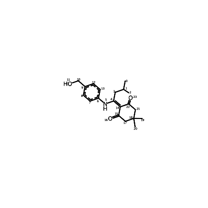 CC(C)CC(Nc1ccc(CO)cc1)=C1C(=O)CC(C)(C)CC1=O